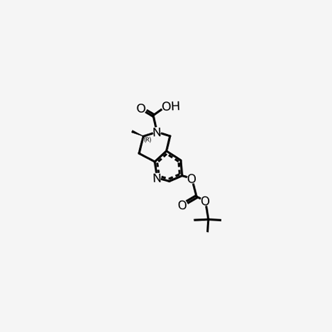 C[C@@H]1Cc2ncc(OC(=O)OC(C)(C)C)cc2CN1C(=O)O